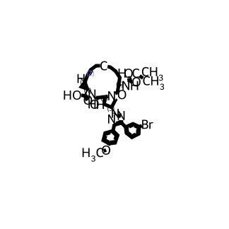 COc1ccc(-c2nn([C@H]3C[C@H]4C(=O)N[C@]5(C(=O)O)C[C@H]5/C=C\CCCCC[C@H](NC(=O)OC(C)(C)C)C(=O)N4C3)nc2-c2cccc(Br)c2)cc1